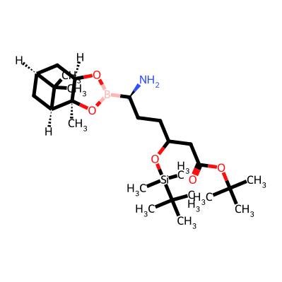 CC(C)(C)OC(=O)CC(CC[C@H](N)B1O[C@@H]2C[C@@H]3C[C@@H](C3(C)C)[C@]2(C)O1)O[Si](C)(C)C(C)(C)C